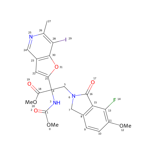 COC(=O)NC(CN1Cc2ccc(OC)c(F)c2C1=O)(C(=O)OC)c1cc2cnc(C)c(I)c2o1